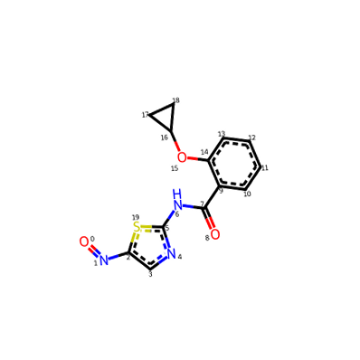 O=Nc1cnc(NC(=O)c2ccccc2OC2CC2)s1